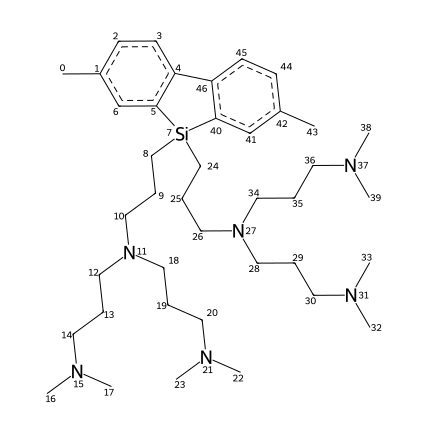 Cc1ccc2c(c1)[Si](CCCN(CCCN(C)C)CCCN(C)C)(CCCN(CCCN(C)C)CCCN(C)C)c1cc(C)ccc1-2